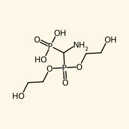 NC(P(=O)(O)O)P(=O)(OCCO)OCCO